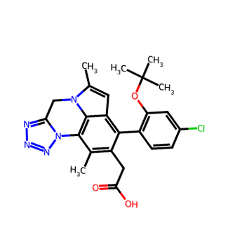 Cc1c(CC(=O)O)c(-c2ccc(Cl)cc2OC(C)(C)C)c2cc(C)n3c2c1-n1nnnc1C3